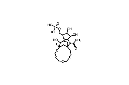 NC(=O)N(C1OC(COP(=O)(O)O)C(O)C1O)[C@@]12CCCCCCCCC[C@@H](C1)C(O)CC2